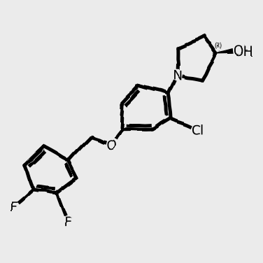 O[C@@H]1CCN(c2ccc(OCc3ccc(F)c(F)c3)cc2Cl)C1